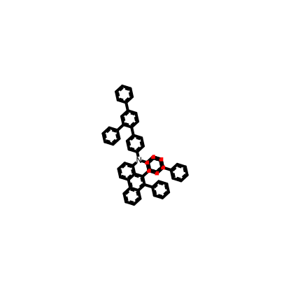 c1ccc(-c2ccc(N(c3ccc(-c4ccc(-c5ccccc5)cc4-c4ccccc4)cc3)c3cccc4c3c(-c3ccccc3)c(-c3ccccc3)c3ccccc34)cc2)cc1